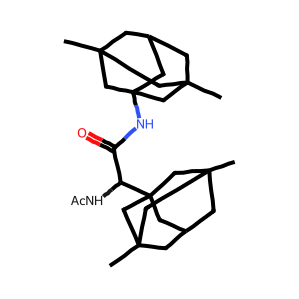 CC(=O)NC(C(=O)NC12CC3CC(C)(CC(C)(C3)C1)C2)C12CC3CC(C)(CC(C)(C3)C1)C2